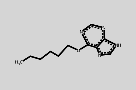 CCCCCCOc1ncnc2[nH]cnc12